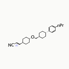 CCCc1ccc([C@H]2CC[C@H](CO[C@H]3CC[C@H](/C=C/C#N)CC3)CC2)cc1